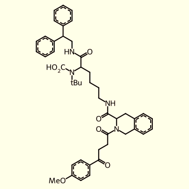 COc1ccc(C(=O)CCC(=O)N2Cc3ccccc3CC2C(=O)NCCCCC(C(=O)NCC(c2ccccc2)c2ccccc2)N(C(=O)O)C(C)(C)C)cc1